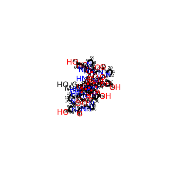 CSCC[C@H](NC(=O)[C@@H]1C[C@@H](O)CN1C(=O)CNC(=O)[C@@H]1CCCN1C(=O)[C@@H]1C[C@@H](O)CN1C(=O)CNC(=O)[C@@H]1CCCN1C(=O)[C@@H]1C[C@@H](O)CN1C(=O)CNC(=O)[C@@H]1CCCN1C(=O)[C@@H]1C[C@@H](O)CN1)C(=O)NCC(=O)N1C[C@H](O)C[C@H]1C(=O)N1CCC[C@H]1C(=O)NCC(=O)N1C[C@H](O)C[C@H]1C(=O)N1CCC[C@H]1C(=O)NCC(=O)N1C[C@H](O)C[C@H]1C(=O)N1CCC[C@H]1C(=O)NCC(=O)O